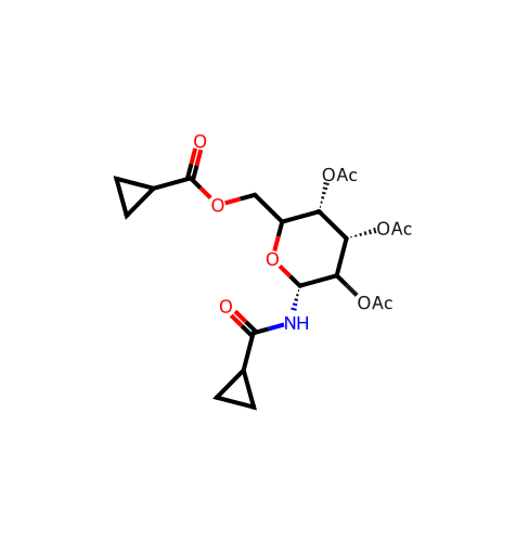 CC(=O)OC1[C@H](NC(=O)C2CC2)OC(COC(=O)C2CC2)[C@H](OC(C)=O)[C@@H]1OC(C)=O